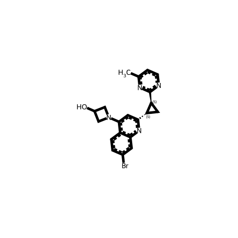 Cc1ccnc([C@H]2C[C@@H]2c2cc(N3CC(O)C3)c3ccc(Br)cc3n2)n1